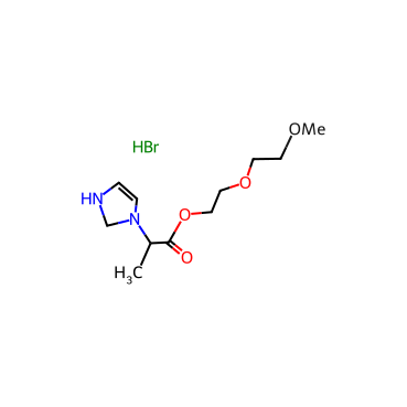 Br.COCCOCCOC(=O)C(C)N1C=CNC1